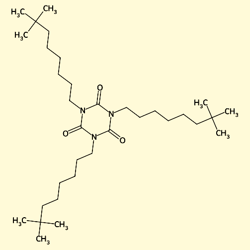 CC(C)(C)CCCCCCn1c(=O)n(CCCCCCC(C)(C)C)c(=O)n(CCCCCCC(C)(C)C)c1=O